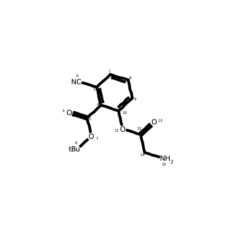 CC(C)(C)OC(=O)c1c(C#N)cccc1OC(=O)CN